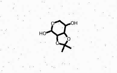 CC1(C)OC2C(O)COC(O)C2O1